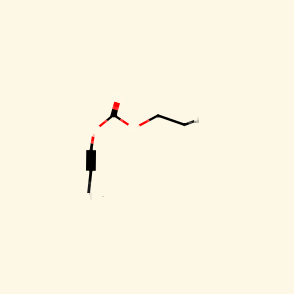 CCCCCC#COC(=O)OCCC(C)C